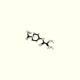 C=C(C)C(=O)OC1CCN(C(=O)C(C)(C)C)CC1